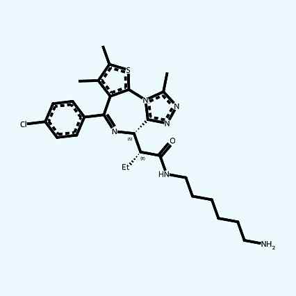 CC[C@@H](C(=O)NCCCCCCN)[C@@H]1N=C(c2ccc(Cl)cc2)c2c(sc(C)c2C)-n2c(C)nnc21